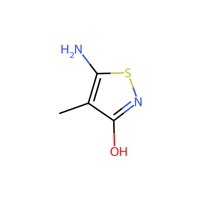 Cc1c(O)nsc1N